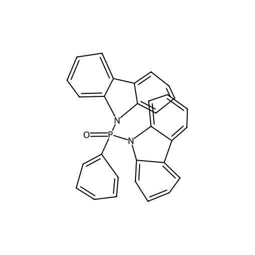 O=P(c1ccccc1)(n1c2ccccc2c2ccccc21)n1c2ccccc2c2ccccc21